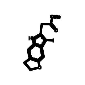 COC(=O)Cc1[nH]c2cc3c(cc2c1I)OCC3